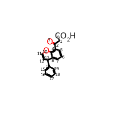 O=C(O)CC(=O)c1cccc2c1OC=CC2c1ccccc1